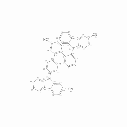 N#Cc1ccc(-c2ccccc2-n2c3ccccc3c3cc(C#N)ccc32)c(-c2ccc(-n3c4ccccc4c4ccc(C#N)cc43)cc2)c1